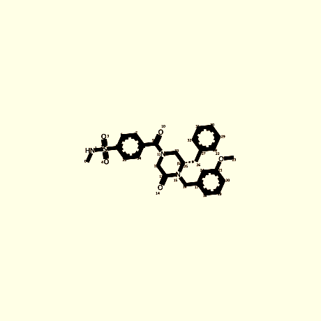 CNS(=O)(=O)c1ccc(C(=O)N2CC(=O)N(Cc3cccc(OC)c3)[C@@H](Cc3ccccc3)C2)cc1